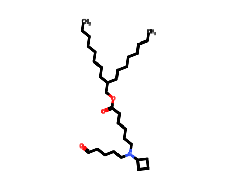 CCCCCCCCC(CCCCCCCC)COC(=O)CCCCCN(CCCCC=O)C1CCC1